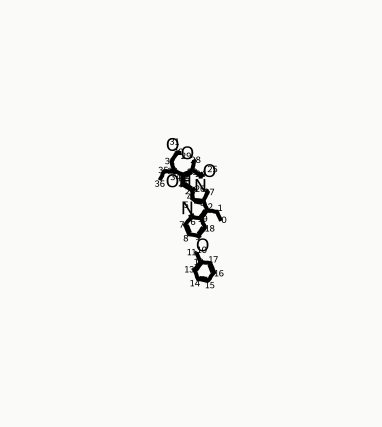 CCc1c2c(nc3ccc(OCc4ccccc4)cc13)-c1cc3c(c(=O)n1C2)COC(=O)CC3(O)CC